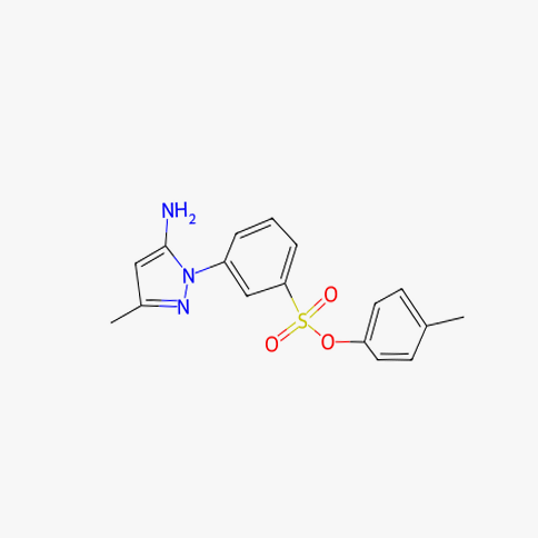 Cc1ccc(OS(=O)(=O)c2cccc(-n3nc(C)cc3N)c2)cc1